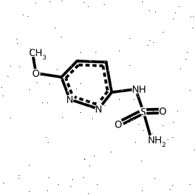 COc1ccc(NS(N)(=O)=O)nn1